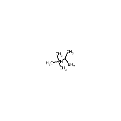 BC(C)[PH](C)(C)C